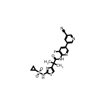 CC(C)(C(=O)Nc1ncc(-c2cncc(C#N)c2)cc1F)c1csc(NS(=O)(=O)C2CC2)n1